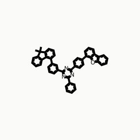 CC1(C)c2ccccc2-c2c(-c3cccc(-c4nc(-c5ccccc5)nc(-c5ccc(-c6cccc7c6oc6ccccc67)cc5)n4)c3)cccc21